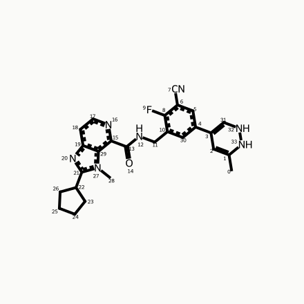 CC1=CC(c2cc(C#N)c(F)c(CNC(=O)c3nccc4nc(C5CCCC5)n(C)c34)c2)=CNN1